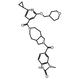 Cn1c(=O)[nH]c2ccc(C(=O)N3CC4CCN(C(=O)c5cc(OCC6CCOCC6)nc(C6CC6)c5)CCC4C3)cc21